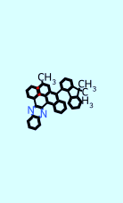 Cc1ccc2c(-c3nc4ccccc4nc3-c3ccccc3)c3ccccc3c(-c3cccc4c3-c3ccccc3C4(C)C)c2c1